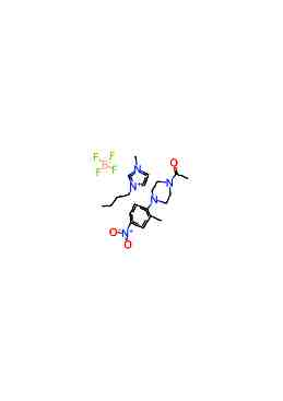 CC(=O)N1CCN(c2ccc([N+](=O)[O-])cc2C)CC1.CCCC[n+]1ccn(C)c1.F[B-](F)(F)F